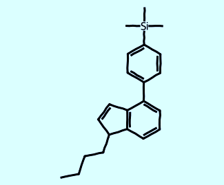 CCCC[C]1C=Cc2c1cccc2-c1ccc([Si](C)(C)C)cc1